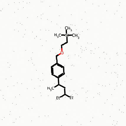 CCC(CC)CC(C)c1ccc(COCC[Si](C)(C)C)cc1